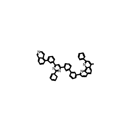 Cc1cc(-c2ccccc2)nc2c1ccc1ccc(-c3cccc(-c4cccc(-c5cc(-c6cccc(-c7cccc8cnccc78)c6)nc(C6C=CC=CC6)n5)c4)c3)nc12